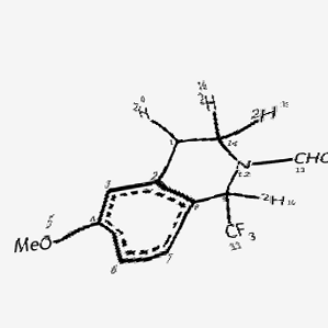 [2H]C1c2cc(OC)ccc2C([2H])(C(F)(F)F)N(C=O)C1([2H])[2H]